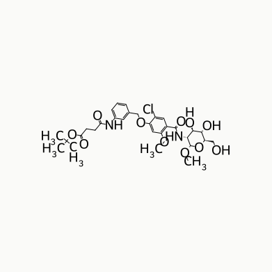 COc1cc(OCc2cccc(NC(=O)CCC(=O)OC(C)(C)C)c2)c(Cl)cc1C(=O)N[C@H]1[C@@H](OC)O[C@H](CO)[C@@H](O)[C@@H]1O